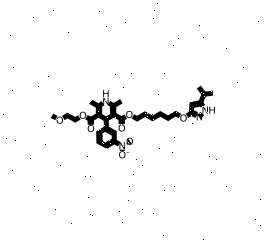 COCCOC(=O)C1=C(C)NC(C)=C(C(=O)OCCCCCCOc2cc(C(C)C)[nH]n2)C1c1cccc([N+](=O)[O-])c1